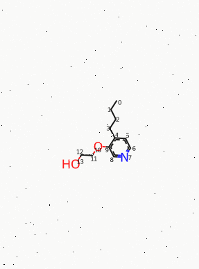 CCCCc1ccncc1OCCO